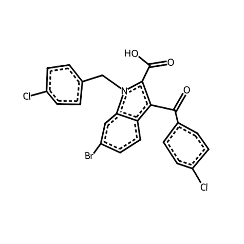 O=C(c1ccc(Cl)cc1)c1c(C(=O)O)n(Cc2ccc(Cl)cc2)c2cc(Br)ccc12